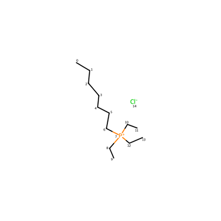 CCCCCCC[P+](CC)(CC)CC.[Cl-]